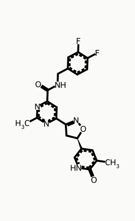 Cc1nc(C(=O)NCc2ccc(F)c(F)c2)cc(C2=NO[C@@H](c3c[nH]c(=O)c(C)c3)C2)n1